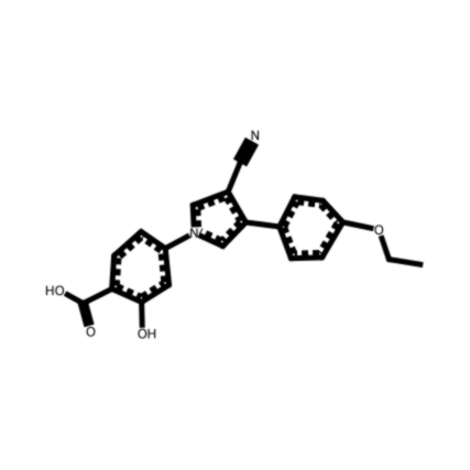 CCOc1ccc(-c2cn(-c3ccc(C(=O)O)c(O)c3)cc2C#N)cc1